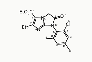 CCOC(=O)c1c(CC)nc2n1CC(=O)N2c1c(C)cc(C)cc1Cl